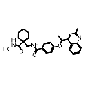 Cc1cc(C(C)Oc2ccc(C(=O)NCC3(C(=O)NO)CCCCC3)cc2)c2ccccc2n1